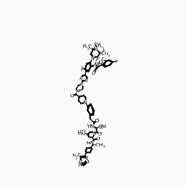 Cc1ncsc1-c1ccc([C@H](C)NC(=O)[C@@H]2C[C@@H](O)CN2C(=O)[C@@H](NC(=O)Cc2cccc(N3CCC(C(=O)N4CCN(c5ncc(-c6cc(NC(=O)c7ccc(F)cc7C(F)(F)F)c(N7C[C@@H](C)N(C)[C@@H](C)C7)cc6F)cn5)CC4)CC3)c2)C(C)(C)C)cc1